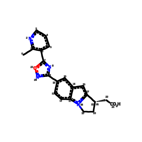 Cc1ncccc1-c1nc(-c2ccc3c(c2)cc2n3CC[C@H]2CC(=O)O)no1